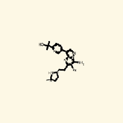 CC(=O)c1c(CC[C@H]2CC[C@@H](C)N2)nc2c(-c3ccc(C(C)(C)O)nc3)cnn2c1N